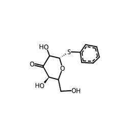 O=C1C(O)[C@H](Sc2ccccc2)OC(CO)[C@H]1O